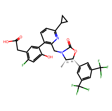 C[C@H]1[C@@H](c2cc(C(F)(F)F)cc(C(F)(F)F)c2)OC(=O)N1Cc1nc(C2CC2)ccc1-c1cc(CC(=O)O)c(F)cc1O